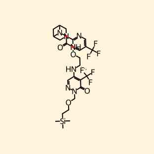 C[C@@H](CONC(=O)CN1C2CC1CN(c1ncc(C(F)(F)F)cn1)C2)Nc1cnn(COCC[Si](C)(C)C)c(=O)c1C(F)(F)F